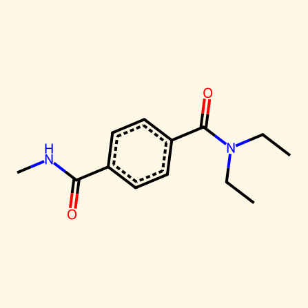 CCN(CC)C(=O)c1ccc(C(=O)NC)cc1